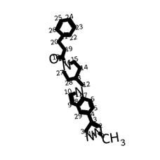 Cn1cc(-c2ccc3c(ccn3CC3CCN(C(=O)CCc4ccccc4)CC3)c2)cn1